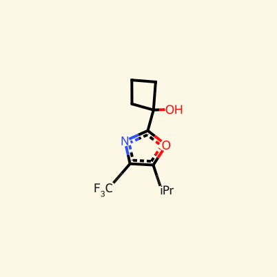 CC(C)c1oc(C2(O)CCC2)nc1C(F)(F)F